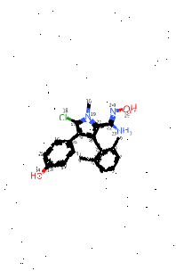 Cc1cccc(C)c1-c1c(-c2ccc(O)cc2)c(Cl)n(C)c1/C(N)=N/O